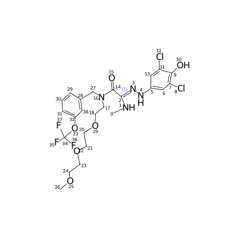 CN/C(=N\Nc1cc(Cl)c(O)c(Cl)c1)C(=O)N(CCOCCOCCOC)Cc1cccc(OC(F)(F)F)c1